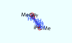 COC(=O)NC(C(=O)N1CCCC1c1ncc(-c2nc3cc4nc(-c5ccc6nc(C7CCCN7C(=O)C(NC(=O)OC)C(C)C)[nH]c6c5)[nH]c4cc3[nH]2)[nH]1)C(C)C